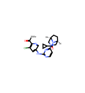 CNC(=O)c1ncc(Nc2nccc(N3C[C@H]4CC[C@@H](C3)N4C(=O)C3CC3)n2)cc1Cl